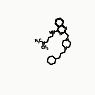 CN(C)CCCNc1nc(CN2CCN(CCCC3CCCCC3)CC2)nc2ccccc12